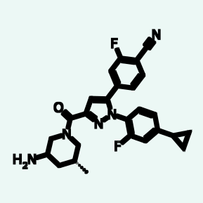 C[C@@H]1CC(N)CN(C(=O)c2cc(-c3ccc(C#N)c(F)c3)n(-c3ccc(C4CC4)cc3F)n2)C1